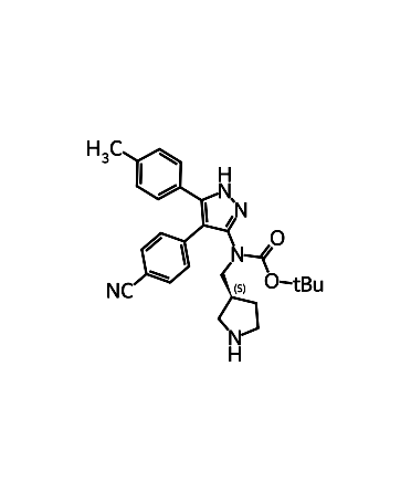 Cc1ccc(-c2[nH]nc(N(C[C@H]3CCNC3)C(=O)OC(C)(C)C)c2-c2ccc(C#N)cc2)cc1